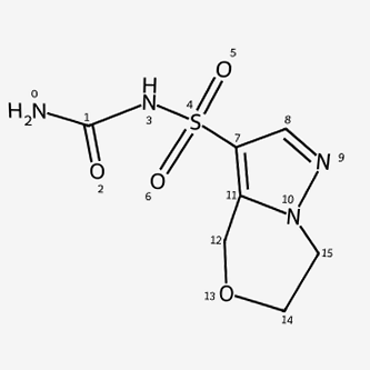 NC(=O)NS(=O)(=O)c1cnn2c1COCC2